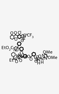 CCN(C(=O)n1nnn(-c2ccccc2Cl)c1=O)C1CCCCC1.CCOC(=O)C1=NOC(c2ccccc2)(c2ccccc2)C1.COC(=O)c1ccccc1CS(=O)(=O)NC(=O)Nc1nc(OC)cc(OC)n1.CS(=O)(=O)c1ccc(C(=O)C2C(=O)CCCC2=O)c(Cl)c1COCC(F)(F)F